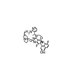 CC(=O)c1c(F)ccc2cc(O)cc(-c3nc4c5c(nc(OC[C@@]67CCCN6C[C@H](F)C7)nc5c3F)N(C(C)c3cccnc3N)CCO4)c12